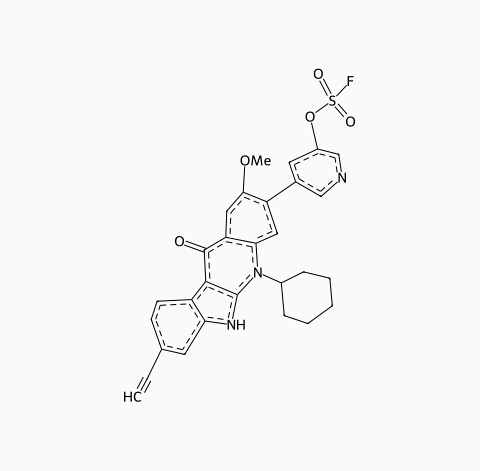 C#Cc1ccc2c(c1)[nH]c1c2c(=O)c2cc(OC)c(-c3cncc(OS(=O)(=O)F)c3)cc2n1C1CCCCC1